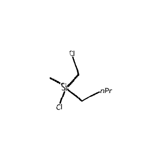 CCCC[Si](C)(Cl)CCl